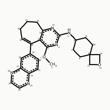 COc1nc(NC2CCC3(CC2)COC3)nc2c1C(c1ccc3nccnc3c1)=CCCC2